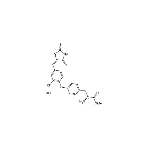 COC(=O)[C@@H](N)Cc1ccc(Oc2ccc(C=C3SC(=S)NC3=O)cc2Cl)cc1.Cl